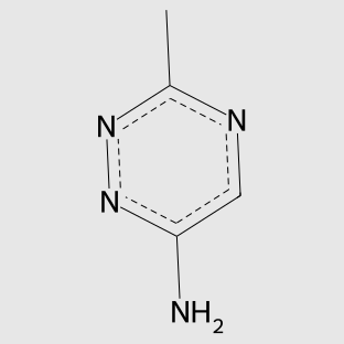 Cc1ncc(N)nn1